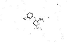 COc1cccc(Cc2ccc(N)nc2N)n1